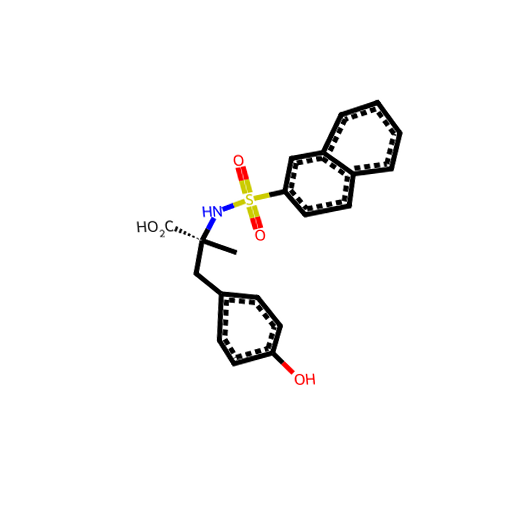 C[C@@](Cc1ccc(O)cc1)(NS(=O)(=O)c1ccc2ccccc2c1)C(=O)O